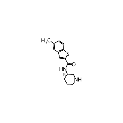 Cc1ccc2sc(C(=O)N[C@@H]3CCCNC3)cc2c1